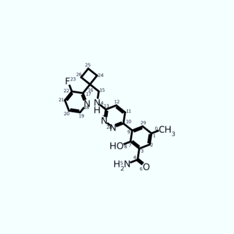 Cc1cc(C(N)=O)c(O)c(-c2ccc(NCC3(c4ncccc4F)CCC3)nn2)c1